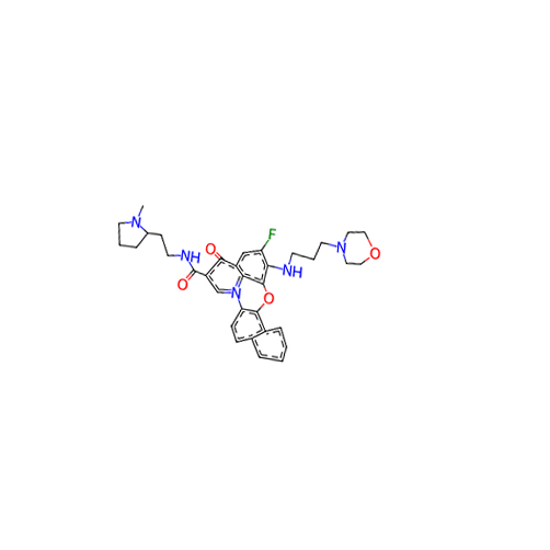 CN1CCCC1CCNC(=O)c1cn2c3c(c(NCCCN4CCOCC4)c(F)cc3c1=O)Oc1c-2ccc2ccccc12